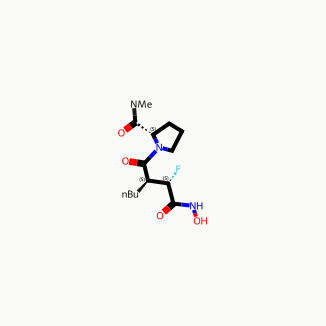 CCCC[C@@H](C(=O)N1CCC[C@H]1C(=O)NC)[C@H](F)C(=O)NO